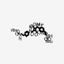 COC(=O)C1C(C(=O)Nc2ccc(CCNC(=O)OC(C)(C)C)cc2)C(C(=O)OC)C1C(=O)c1ccc(CCNC(=O)OC(C)(C)C)cc1